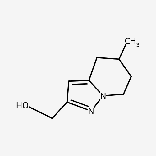 CC1CCn2nc(CO)cc2C1